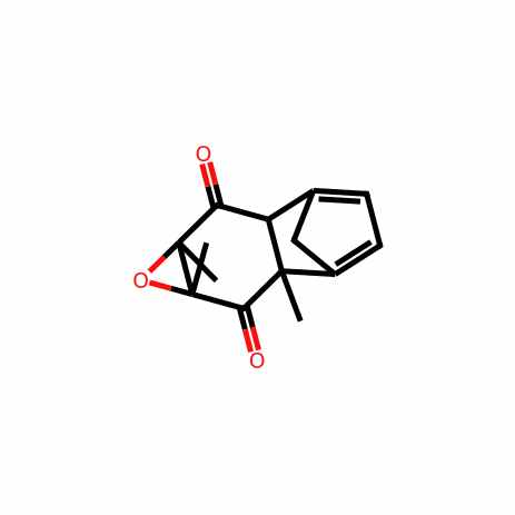 CC12C(=O)C3(C)OC3(C)C(=O)C1C1=CC=C2C1